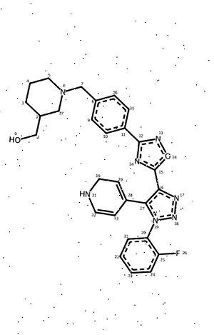 OCC1CCCN(Cc2ccc(-c3noc(-c4nnn(-c5ccccc5F)c4C4=CCNC=C4)n3)cc2)C1